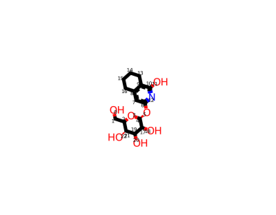 OCC1O[C@@H](Oc2cc3c(c(O)n2)CCCC3)C(O)C(O)[C@@H]1O